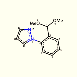 COC(OC)c1ccccc1-n1c[c]cn1